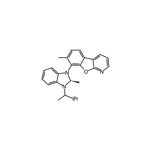 Cc1ccc2c(oc3ncccc32)c1N1c2ccccc2N(C(C)C(C)C)[C@@H]1C